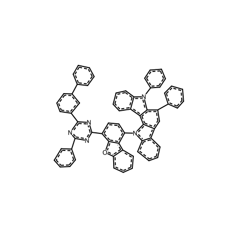 c1ccc(-c2cccc(-c3nc(-c4ccccc4)nc(-c4ccc(-n5c6ccccc6c6cc(-c7ccccc7)c7c(c8ccccc8n7-c7ccccc7)c65)c5c4oc4ccccc45)n3)c2)cc1